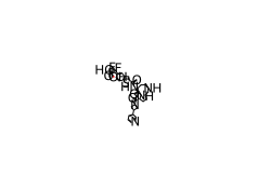 O=C(N[C@H]1CCNC[C@H]2CC[C@@H](C(=O)N3CC(c4cccnc4)C3)N2C1=O)c1cc2cc(C(F)(F)P(=O)(O)O)ccc2s1